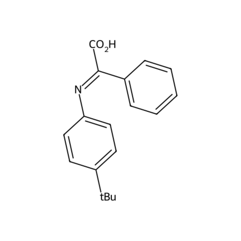 CC(C)(C)c1ccc(N=C(C(=O)O)c2ccccc2)cc1